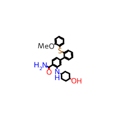 COc1ccccc1Sc1ccccc1-c1ccc(C(N)=O)c(N[C@H]2CC[C@H](O)CC2)c1